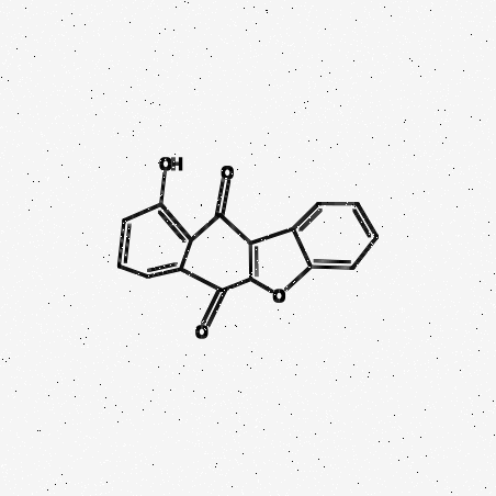 O=C1c2cccc(O)c2C(=O)c2c1oc1ccccc21